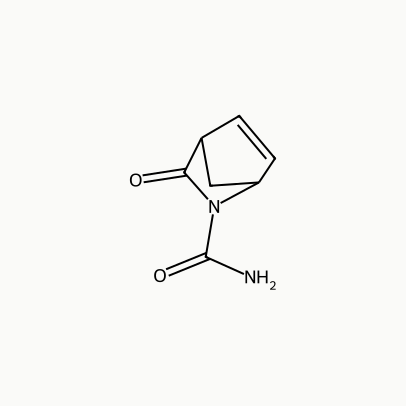 NC(=O)N1C(=O)C2C=CC1C2